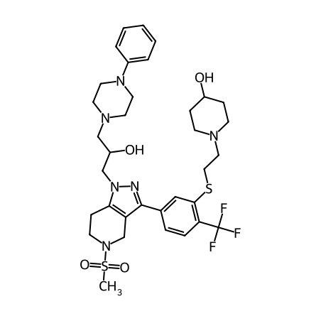 CS(=O)(=O)N1CCc2c(c(-c3ccc(C(F)(F)F)c(SCCN4CCC(O)CC4)c3)nn2CC(O)CN2CCN(c3ccccc3)CC2)C1